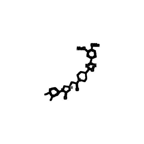 COc1ccc(-c2noc(C3CCN(C(=O)C[C@H]4CC(=O)N(c5ccc(C)c(C)c5)C4)CC3)n2)cc1OC